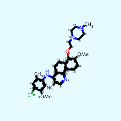 COc1cc(Nc2c(C#N)cnc3c2ccc2c(OCCN4CCN(C)CC4)c(OC)ccc23)c(C)cc1Cl